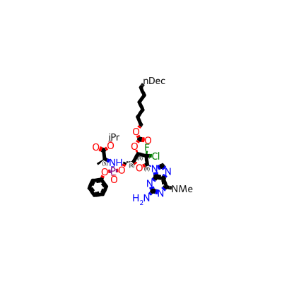 CCCCCCCCCCCCCCCCOC(=O)O[C@@H]1[C@@H](COP(=O)(N[C@@H](C)C(=O)OC(C)C)Oc2ccccc2)O[C@@H](n2cnc3c(NC)nc(N)nc32)[C@@]1(F)Cl